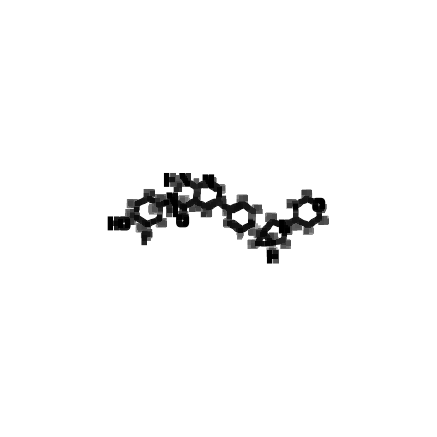 Nc1ncc(-c2ccc([C@@]34C[C@@H]3CN(C3CCOCC3)C4)cc2)cc1C(=O)N[C@@H]1CC[C@@H](O)[C@@H](F)C1